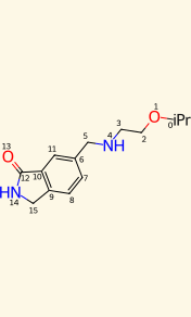 CC(C)OCCNCc1ccc2c(c1)C(=O)NC2